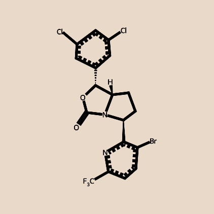 O=C1O[C@H](c2cc(Cl)cc(Cl)c2)[C@@H]2CC[C@@H](c3nc(C(F)(F)F)ccc3Br)N12